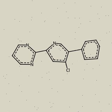 Clc1cc(-c2ncccn2)ncc1-c1ccccc1